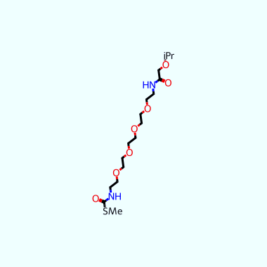 CSC(=O)NCCOCCOCCOCCOCCNC(=O)COC(C)C